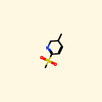 CC1C=CC(S(C)(=O)=O)=NC1